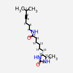 CC(C)C#CCCCNC(=O)CCCCC[C@H]1NC(=O)N[C@H]1C